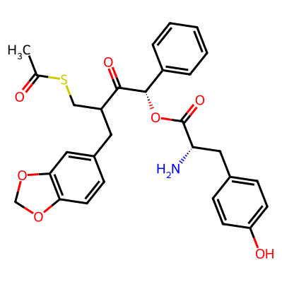 CC(=O)SCC(Cc1ccc2c(c1)OCO2)C(=O)[C@@H](OC(=O)[C@@H](N)Cc1ccc(O)cc1)c1ccccc1